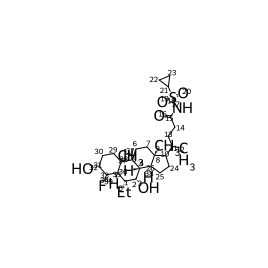 CC[C@H]1[C@@H](O)[C@@H]2[C@H](CC[C@]3(C)[C@@H](C(C)CCC(=O)NS(=O)(=O)C4CC4)CC[C@@H]23)[C@@]2(C)CC[C@@H](O)[C@H](F)[C@@H]12